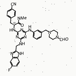 CNC(=O)[C@H](Cc1ccc(C#N)cc1)Nc1nc(NCc2nc3cc(F)ccc3[nH]2)nc(Nc2cccc(CN3CCN(C=O)CC3)c2)n1